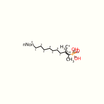 CCCCCCCCCCCCCCCC/C(C)=C(\C)P(=O)(O)O